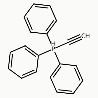 C#C[PH](c1ccccc1)(c1ccccc1)c1ccccc1